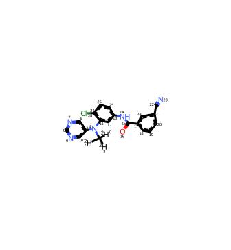 [2H]C([2H])([2H])N(c1cncnc1)c1cc(NC(=O)c2cccc(C#N)c2)ccc1Cl